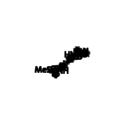 CSCC(=O)N1CCC[C@H]1C(=O)Nc1ccc(/C=C/c2ccc(NC(=O)[C@@H]3CCCN3C(=O)c3cccnc3)cc2)cc1